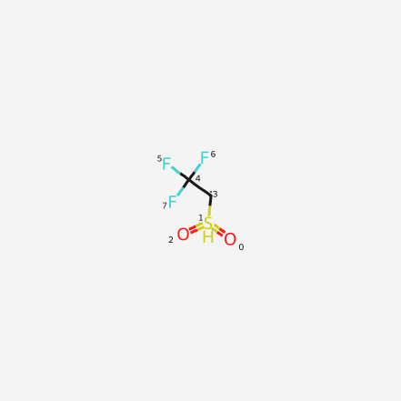 O=[SH](=O)[CH]C(F)(F)F